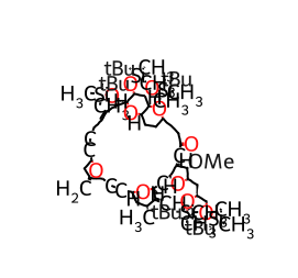 C=C1CC2CCC/C=C/C(O[Si](C)(C)C(C)(C)C)[C@@H]3O[C@H]4CCC(CC(=O)C[C@H]5[C@H](C[C@H]6O[C@@H](CCC1O2)C[C@@H](C)C6=C)OC(C[C@@H](CO[Si](C)(C)C(C)(C)C)O[Si](C)(C)C(C)(C)C)[C@@H]5OC)O[C@@H]4C(O[Si](C)(C)C(C)(C)C)C3O[Si](C)(C)C(C)(C)C